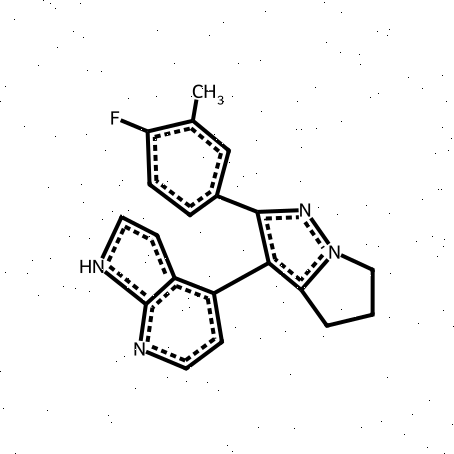 Cc1cc(-c2nn3c(c2-c2ccnc4[nH]ccc24)CCC3)ccc1F